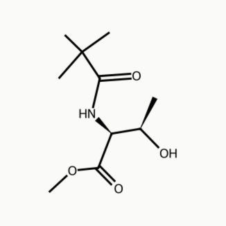 COC(=O)[C@@H](NC(=O)C(C)(C)C)[C@@H](C)O